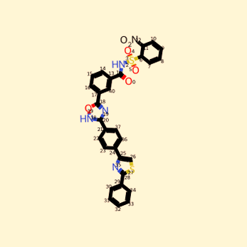 O=C(NS(=O)(=O)C1C=CC=CC1[N+](=O)[O-])c1cccc(C2=NC(c3ccc(-c4csc(-c5ccccc5)n4)cc3)NO2)c1